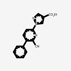 CCOC(=O)c1cnn(-c2ccc(-c3ccccc3)c(C#N)n2)c1